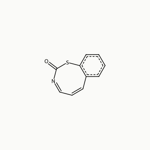 O=C1N=CC=Cc2ccccc2S1